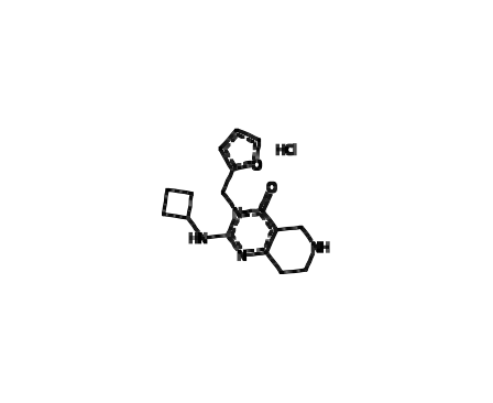 Cl.O=c1c2c(nc(NC3CCC3)n1Cc1ccco1)CCNC2